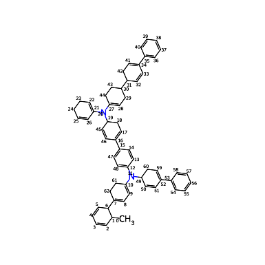 CC1C=CC=CC1C1=CC=C(N(c2ccc(C3=CCC(N(C4=CCCC=C4)C4=CCC(C5C=CC(c6ccccc6)=CC5)CC4)C=C3)cc2)C2C=CC(c3ccccc3)=CC2)CC1